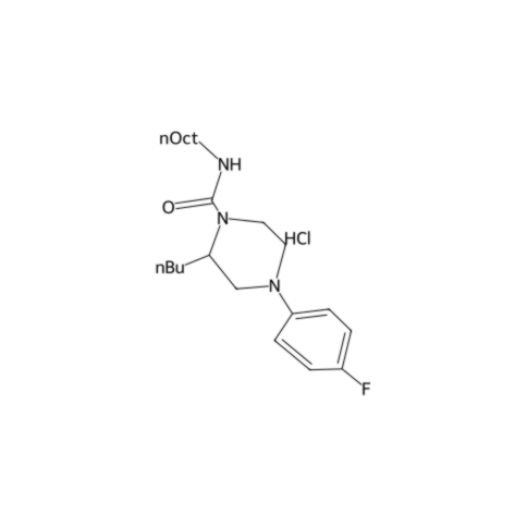 CCCCCCCCNC(=O)N1CCN(c2ccc(F)cc2)CC1CCCC.Cl